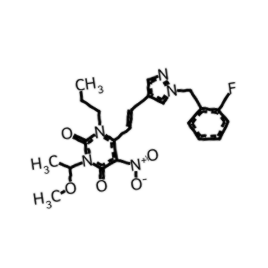 CCCn1c(/C=C/c2cnn(Cc3ccccc3F)c2)c([N+](=O)[O-])c(=O)n(C(C)OC)c1=O